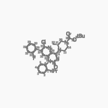 CC(C)c1ccccc1-n1c(=O)nc(N2CCN(C(=O)OC(C)(C)C)C[C@@H]2C)c2nc(Cl)c(-c3ccccc3F)cc21